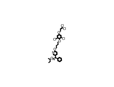 CCC(C)ON=C(c1ccccc1)c1ccc(OCCCCOc2c(Cl)cc(OCC=C(Cl)Cl)cc2Cl)nc1